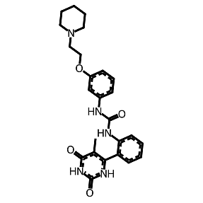 Cc1c(-c2ccccc2NC(=O)Nc2cccc(OCCN3CCCCC3)c2)[nH]c(=O)[nH]c1=O